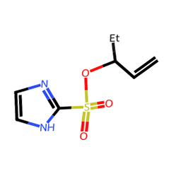 C=CC(CC)OS(=O)(=O)c1ncc[nH]1